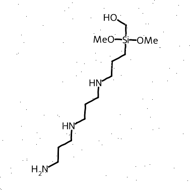 CO[Si](CO)(CCCNCCCNCCCN)OC